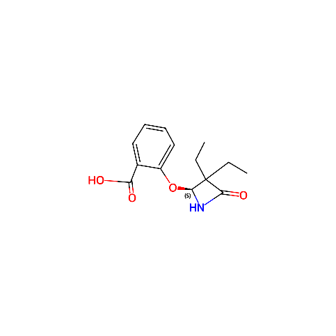 CCC1(CC)C(=O)N[C@H]1Oc1ccccc1C(=O)O